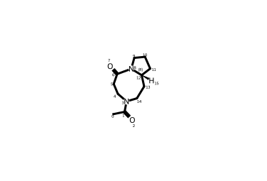 CC(=O)N1CCC(=O)N2CCC[C@@H]2CC1